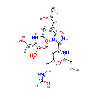 CCCC(=O)N[C@@H](CCCCNC(C)=O)c1noc([C@H](CC(N)=O)NC(=O)N[C@H](C(=O)O)C(C)O)n1